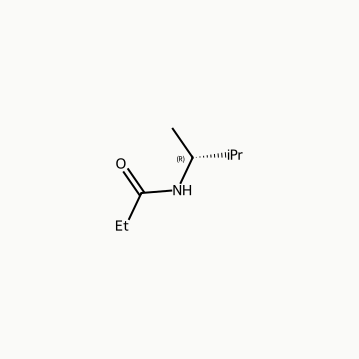 CCC(=O)N[C@H](C)C(C)C